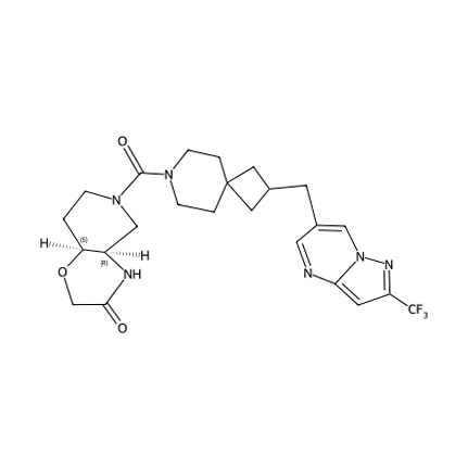 O=C1CO[C@H]2CCN(C(=O)N3CCC4(CC3)CC(Cc3cnc5cc(C(F)(F)F)nn5c3)C4)C[C@H]2N1